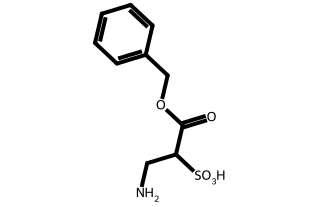 NCC(C(=O)OCc1ccccc1)S(=O)(=O)O